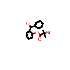 CC(C)(Br)C(=O)Oc1ccccc1C(=O)c1ccccc1